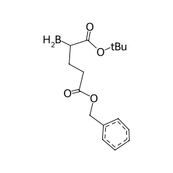 BC(CCC(=O)OCc1ccccc1)C(=O)OC(C)(C)C